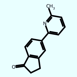 Cc1cccc(-c2ccc3c(c2)CCC3=O)n1